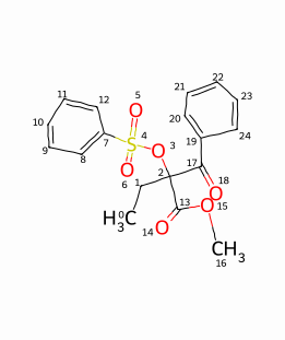 CCC(OS(=O)(=O)c1ccccc1)(C(=O)OC)C(=O)c1ccccc1